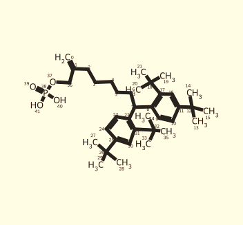 C=C(CCCCCC(c1ccc(C(C)(C)C)cc1C(C)(C)C)c1ccc(C(C)(C)C)cc1C(C)(C)C)COP(=O)(O)O